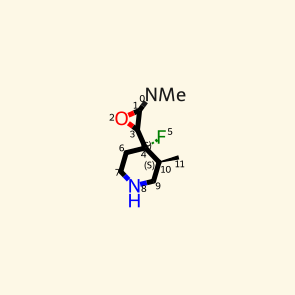 CNC1OC1[C@]1(F)CCNC[C@@H]1C